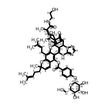 CC(C)=CCCC1(C)C=Cc2c(c(CC=C(C)C)c3c(c2OC(=O)c2ccc(O[C@H]4O[C@@H](CO)[C@H](O)[C@@H](O)[C@@H]4O)cc2)C2=C4C(C5CC(C(C)C)C4(O3)C(O)(C/C=C(/C)C(=O)NCCO)C5=O)n3ncnc3N2)O1